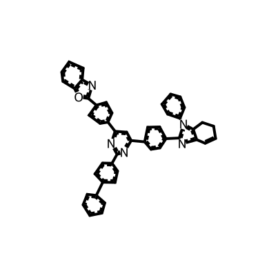 C1=Cc2nc(-c3ccc(-c4cc(-c5ccc(-c6nc7ccccc7o6)cc5)nc(-c5ccc(-c6ccccc6)cc5)n4)cc3)n(-c3ccccc3)c2CC1